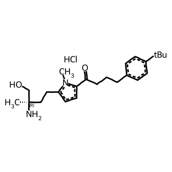 Cl.Cn1c(CC[C@@](C)(N)CO)ccc1C(=O)CCCc1ccc(C(C)(C)C)cc1